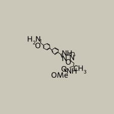 COC(=O)NCC(C)CC(=O)N1CCCC1c1ncc(-c2ccc(-c3ccc(C(=O)CN)cc3)cc2)[nH]1